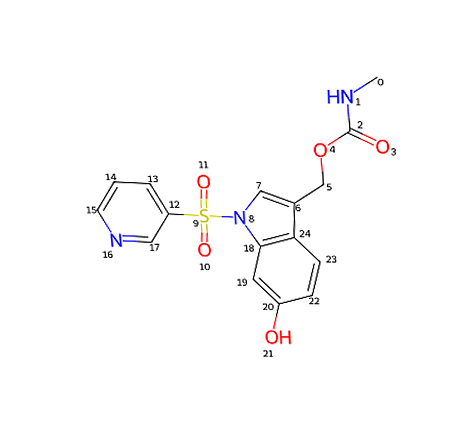 CNC(=O)OCc1cn(S(=O)(=O)c2cccnc2)c2cc(O)ccc12